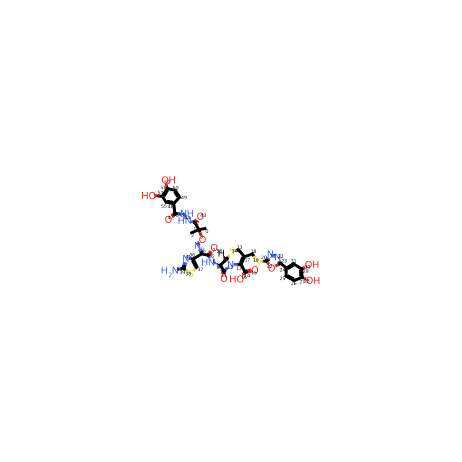 CC(C)(O/N=C(\C(=O)N[C@@H]1C(=O)N2C(C(=O)O)=C(CSc3nnc(-c4ccc(O)c(O)c4)o3)CS[C@H]12)c1csc(N)n1)C(=O)NNC(=O)c1ccc(O)c(O)c1